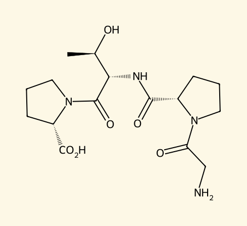 C[C@@H](O)[C@H](NC(=O)[C@@H]1CCCN1C(=O)CN)C(=O)N1CCC[C@H]1C(=O)O